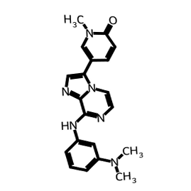 CN(C)c1cccc(Nc2nccn3c(-c4ccc(=O)n(C)c4)cnc23)c1